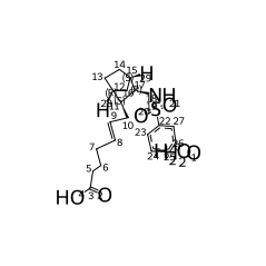 O.O.O=C(O)CCCC=CC[C@H]1[C@@H]2CC[C@@H](C2)[C@H]1NS(=O)(=O)c1ccccc1